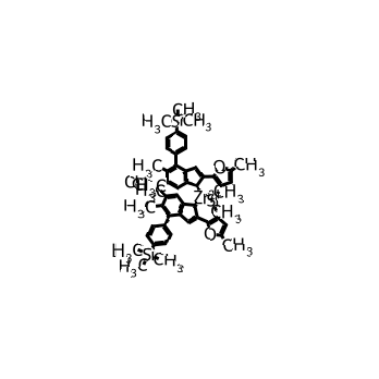 Cc1ccc(C2=Cc3c(cc(C)c(C)c3-c3ccc([Si](C)(C)C)cc3)[CH]2[Zr+2]([CH]2C(c3ccc(C)o3)=Cc3c2cc(C)c(C)c3-c2ccc([Si](C)(C)C)cc2)=[Si](C)C)o1.[Cl-].[Cl-]